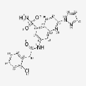 NS(=O)(=O)c1cc(NC(=O)Cc2ccccc2Cl)cc2nc(-n3cccn3)ccc12